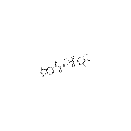 O=C(Nc1ccc2scnc2c1)[C@@H]1CCN(S(=O)(=O)c2cc(I)c3c(c2)CCO3)C1